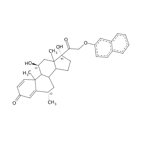 C[C@H]1CC2C([C@@H](O)CC3(C)C2CC[C@]3(O)C(=O)COc2ccc3ccccc3c2)C2(C)C=CC(=O)C=C12